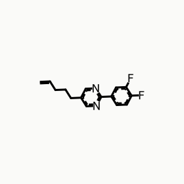 C=CCCCc1cnc(-c2ccc(F)c(F)c2)nc1